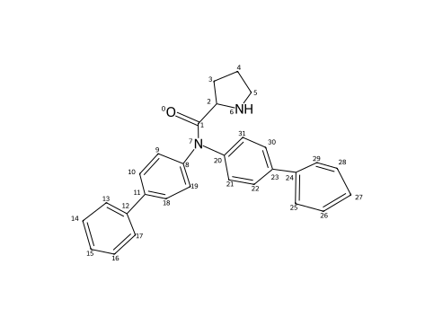 O=C(C1CCCN1)N(c1ccc(-c2ccccc2)cc1)c1ccc(-c2ccccc2)cc1